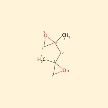 CC1(CC2(C)CO2)CO1